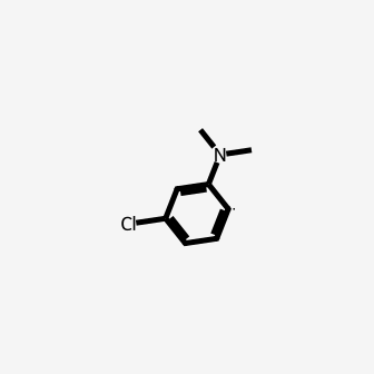 CN(C)c1[c]ccc(Cl)c1